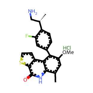 COc1cc(C)c2[nH]c(=O)c3sccc3c2c1-c1ccc([C@@H](C)CN)c(F)c1.Cl